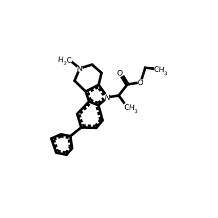 CCOC(=O)C(C)n1c2c(c3cc(-c4ccccc4)ccc31)CN(C)CC2